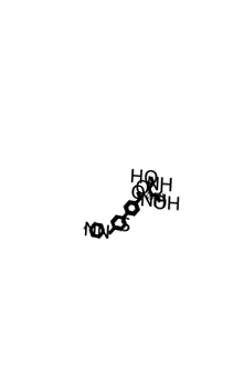 C[C@@H](O)[C@H](NC(=O)c1ccc(C2C=CC(CN3CCN(C)CC3)=CS2)cc1)C(=O)NO